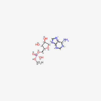 Nc1ncnc2c1ncn2[C@@H]1O[C@@H](CO[P@@](=O)(O)OS(=O)(=O)O)[C@H](O)[C@H]1O